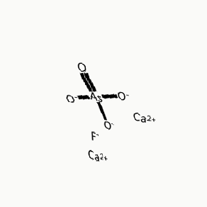 O=[As]([O-])([O-])[O-].[Ca+2].[Ca+2].[F-]